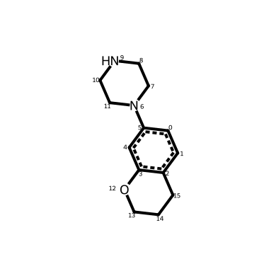 c1cc2c(cc1N1CCNCC1)OCCC2